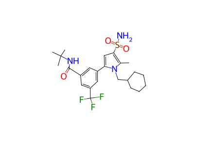 Cc1c(S(N)(=O)=O)cc(-c2cc(C(=O)NC(C)(C)C)cc(C(F)(F)F)c2)n1CC1CCCCC1